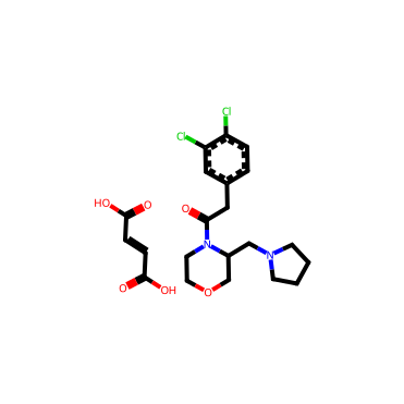 O=C(Cc1ccc(Cl)c(Cl)c1)N1CCOCC1CN1CCCC1.O=C(O)C=CC(=O)O